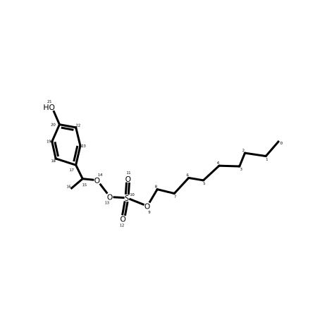 CCCCCCCCCOS(=O)(=O)OOC(C)c1ccc(O)cc1